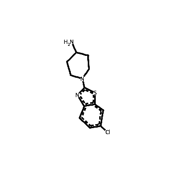 NC1CCN(c2nc3ccc(Cl)cc3s2)CC1